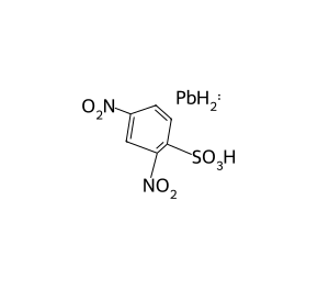 O=[N+]([O-])c1ccc(S(=O)(=O)O)c([N+](=O)[O-])c1.[PbH2]